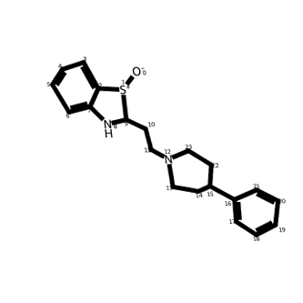 [O-][S+]1c2ccccc2NC1CCN1CCC(c2ccccc2)CC1